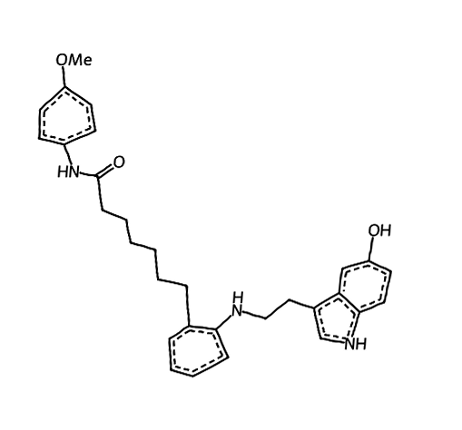 COc1ccc(NC(=O)CCCCCCc2ccccc2NCCc2c[nH]c3ccc(O)cc23)cc1